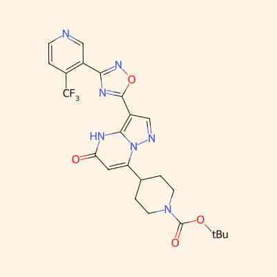 CC(C)(C)OC(=O)N1CCC(c2cc(=O)[nH]c3c(-c4nc(-c5cnccc5C(F)(F)F)no4)cnn23)CC1